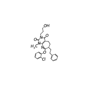 Cn1c2c(c(=O)n(CCCO)c1=O)CCC(CCc1ccccc1)C(Oc1ccccc1Cl)=N2